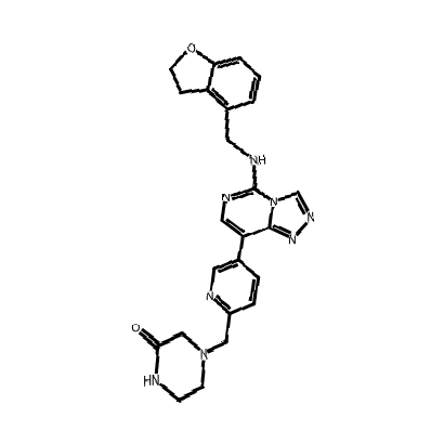 O=C1CN(Cc2ccc(-c3cnc(NCc4cccc5c4CCO5)n4cnnc34)cn2)CCN1